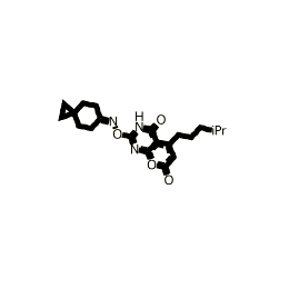 CC(C)CCCc1cc(=O)oc2nc(ON=C3CCC4(CC3)CC4)[nH]c(=O)c12